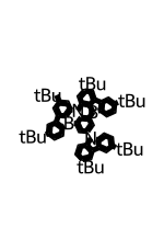 CC(C)(C)c1ccc2c(c1)-c1cc(C(C)(C)C)cc3c1B2c1cc(-n2c4ccc(C(C)(C)C)cc4c4cc(C(C)(C)C)ccc42)cc2c1N3c1cc(C(C)(C)C)cc3c1B2c1ccc(C(C)(C)C)cc1-3